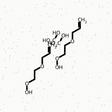 C=CCOCCOO.C=CCOCCOO.O=C(O)O.O=C(O)O